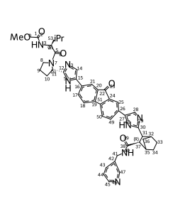 COC(=O)N[C@H](C(=O)N1CCC[C@H]1c1ncc(-c2ccc3c(c2)C(=O)c2cc(-c4cnc(C5C6CCC(C6)[C@H]5C(=O)NCc5cccnc5)[nH]4)ccc2-3)[nH]1)C(C)C